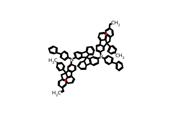 C=Cc1ccc(CC2(c3ccc(C)cc3)C3=C(C=CCC3)c3ccc(N(c4ccc(-c5ccccc5)cc4)c4ccc5c(c4)C4(c6ccccc6-5)c5cc(N(c6ccc(-c7ccccc7)cc6)c6ccc7c(c6)C(Cc6ccc(C=C)cc6)(c6ccc(C)cc6)c6ccccc6-7)ccc5C5C=CC=CC54)cc32)cc1